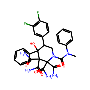 CN(C(=O)N1CC(c2ccc(F)c(F)c2)C(O)(c2ccccc2)C(C(N)=O)(C(N)=O)C1(C(N)=O)C(N)=O)c1ccccc1